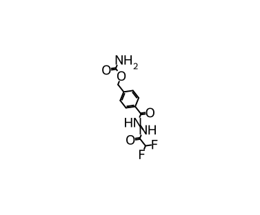 NC(=O)OCc1ccc(C(=O)NNC(=O)C(F)F)cc1